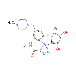 CC(C)NC(=O)c1nnc(-c2cc(C(C)C)c(O)cc2O)n1-c1ccc(CN2CCN(C)CC2)cc1F